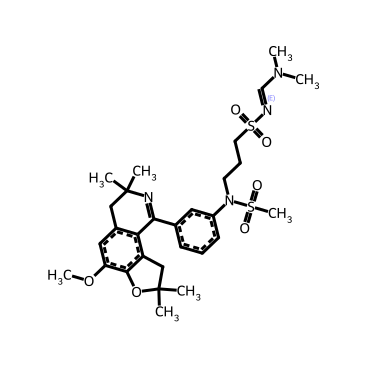 COc1cc2c(c3c1OC(C)(C)C3)C(c1cccc(N(CCCS(=O)(=O)/N=C/N(C)C)S(C)(=O)=O)c1)=NC(C)(C)C2